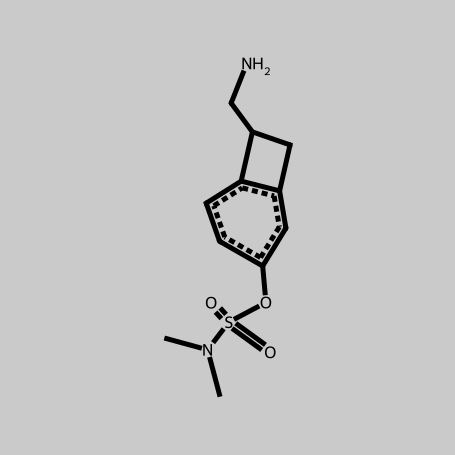 CN(C)S(=O)(=O)Oc1ccc2c(c1)CC2CN